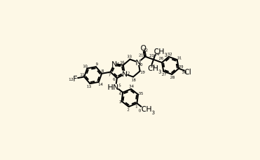 Cc1ccc(Nc2c(-c3ccc(F)cc3)nc3n2CCN(C(=O)C(C)(C)c2ccc(Cl)cc2)C3)cc1